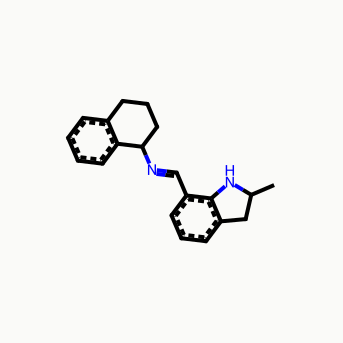 CC1Cc2cccc(C=NC3CCCc4ccccc43)c2N1